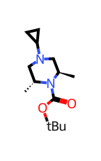 C[C@@H]1CN(C2CC2)C[C@@H](C)N1C(=O)OC(C)(C)C